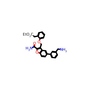 CCOC(=O)Cc1ccccc1OCc1c(C(N)=O)oc2ccc(-c3cccc(CN)c3)cc12